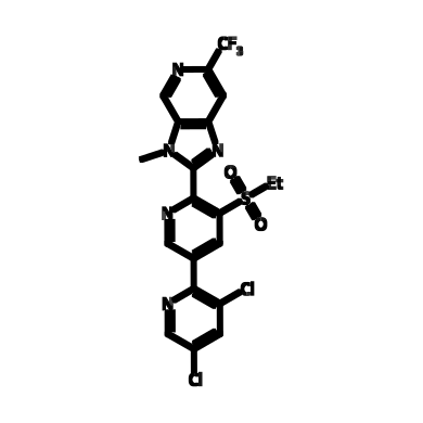 CCS(=O)(=O)c1cc(-c2ncc(Cl)cc2Cl)cnc1-c1nc2cc(C(F)(F)F)ncc2n1C